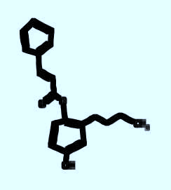 CCCCc1cc(O)ccc1OC(=O)C=Cc1ccccc1